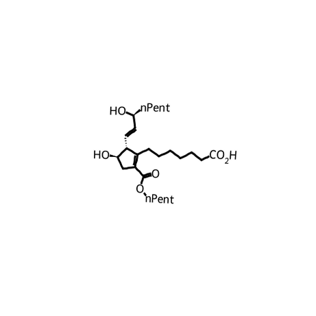 CCCCCOC(=O)C1=C(CCCCCCC(=O)O)[C@@H](C=C[C@@H](O)CCCCC)[C@H](O)C1